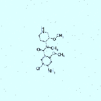 COc1cc(N)c(Cl)cc1C(=O)N(C)C1CCNCC1OC